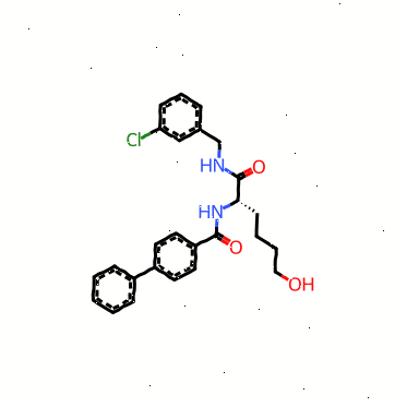 O=C(N[C@@H](CCCCO)C(=O)NCc1cccc(Cl)c1)c1ccc(-c2ccccc2)cc1